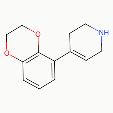 C1=C(c2cccc3c2OCCO3)CCNC1